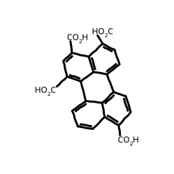 O=C(O)c1ccc2c3ccc(C(=O)O)c4c(C(=O)O)cc(C(=O)O)c(c5cccc1c25)c43